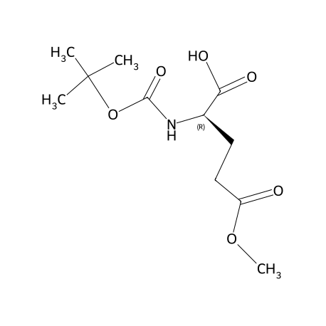 COC(=O)CC[C@@H](NC(=O)OC(C)(C)C)C(=O)O